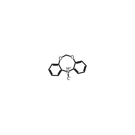 [CH2-][NH+]1c2ccccc2OCOc2ccccc21